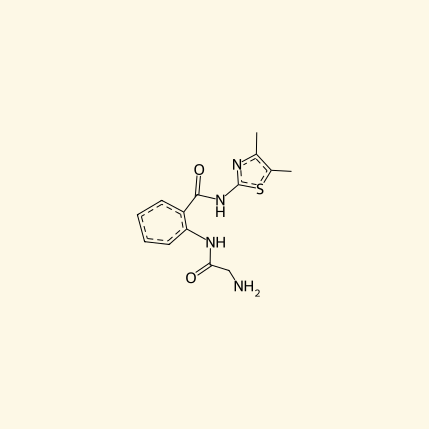 Cc1nc(NC(=O)c2ccccc2NC(=O)CN)sc1C